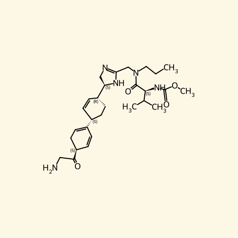 CCCN(CC1=NC[C@H]([C@H]2C=C[C@@H](C3=CC[C@H](C(=O)CN)C=C3)CC2)N1)C(=O)[C@@H](NC(=O)OC)C(C)C